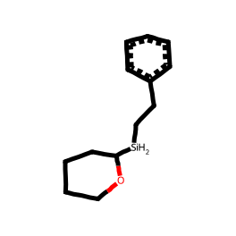 c1ccc(CC[SiH2]C2CCCCO2)cc1